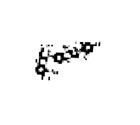 CCCCCCCCCCCCC(Oc1ccc(O)c(C(C)(C)C)c1)C(=O)Nc1ccc(Cl)c(N(C(C)=O)C2=NN(c3c(Cl)cc(Cl)cc3Cl)C(=O)C2)c1